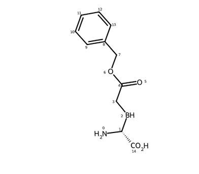 N[C@H](BCC(=O)OCc1ccccc1)C(=O)O